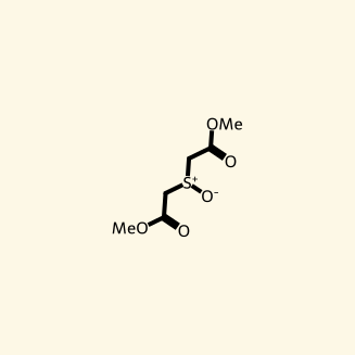 COC(=O)C[S+]([O-])CC(=O)OC